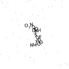 COC(=O)C(F)Oc1ccc(SCCNS(=O)(=O)c2ccc([N+](=O)[O-])cc2)cc1F